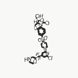 O=C1O[C@@H](CO)[C@H]2COc3cc(S(=O)(=O)N4CCN(c5cc(C(F)(F)[C@@H]6CNCCO6)cc(Cl)n5)CC4)ccc3N12